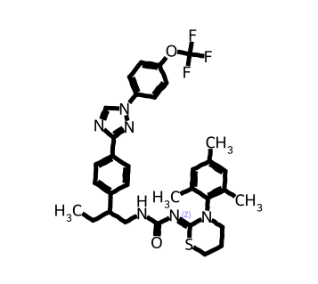 CCC(CNC(=O)/N=C1\SCCCN1c1c(C)cc(C)cc1C)c1ccc(-c2ncn(-c3ccc(OC(F)(F)F)cc3)n2)cc1